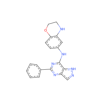 c1ccc(-c2nc(Nc3ccc4c(c3)NCCO4)c3[nH]ncc3n2)cc1